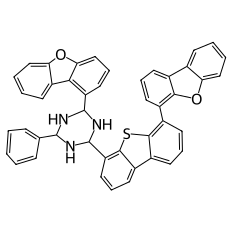 c1ccc(C2NC(c3cccc4c3sc3c(-c5cccc6c5oc5ccccc56)cccc34)NC(c3cccc4oc5ccccc5c34)N2)cc1